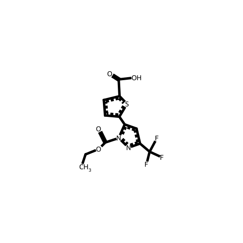 CCOC(=O)n1nc(C(F)(F)F)cc1-c1ccc(C(=O)O)s1